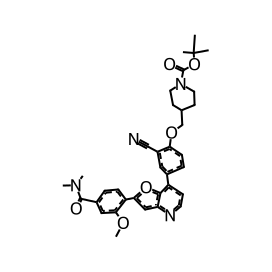 COc1cc(C(=O)N(C)C)ccc1-c1cc2nccc(-c3ccc(OCC4CCN(C(=O)OC(C)(C)C)CC4)c(C#N)c3)c2o1